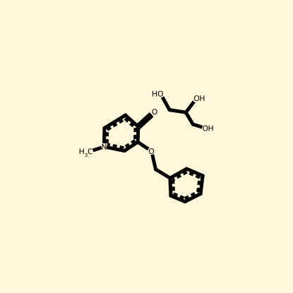 Cn1ccc(=O)c(OCc2ccccc2)c1.OCC(O)CO